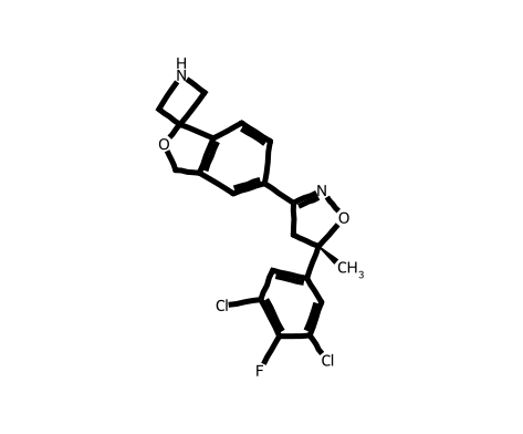 C[C@@]1(c2cc(Cl)c(F)c(Cl)c2)CC(c2ccc3c(c2)COC32CNC2)=NO1